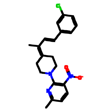 CC(/C=C/c1cccc(Cl)c1)=C1CCN(c2nc(C)ccc2[N+](=O)[O-])CC1